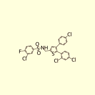 O=S(=O)(NCc1cc(-c2ccc(Cl)cc2)c(-c2ccc(Cl)cc2Cl)s1)c1ccc(F)c(Cl)c1